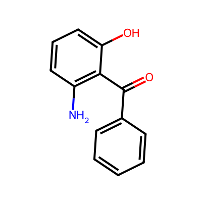 Nc1cccc(O)c1C(=O)c1ccccc1